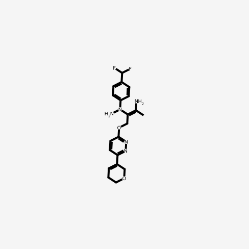 C/C(N)=C(\COc1ccc(C2=CCCOC2)nn1)N(N)c1ccc(C(F)F)cc1